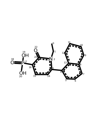 CCn1c(-c2cccc3ccccc23)ccc(P(=O)(O)O)c1=O